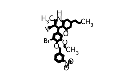 CCCC1CC(=O)C2=C(C1)NC(C)=C(C#N)C2c1cc(Br)c(OCc2cccc([N+](=O)[O-])c2)c(OCC)c1